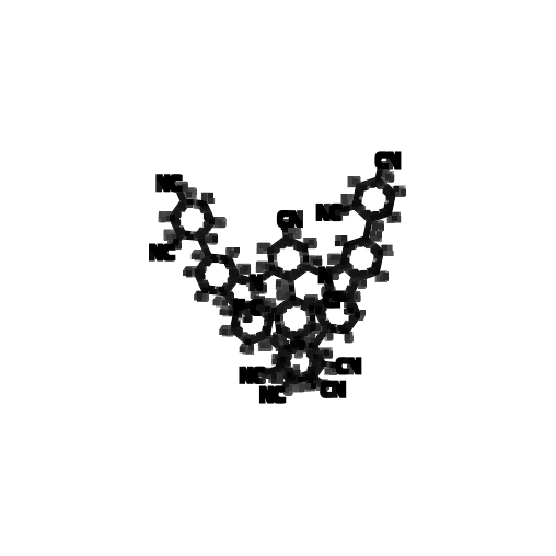 N#Cc1ccc(-c2ccc3c4ccc(-c5ccc(C#N)cc5C#N)cc4n(-c4cc(C#N)cc(-n5c6cc(-c7ccc(C#N)cc7C#N)ccc6c6ccc(-c7ccc(C#N)cc7C#N)cc65)c4-c4c(C(F)(F)F)cccc4C(F)(F)F)c3c2)c(C#N)c1